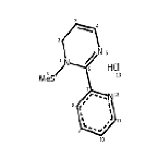 CSN1CC=CN=C1c1ccccn1.Cl